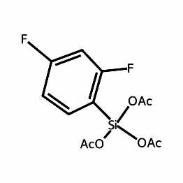 CC(=O)O[Si](OC(C)=O)(OC(C)=O)c1ccc(F)cc1F